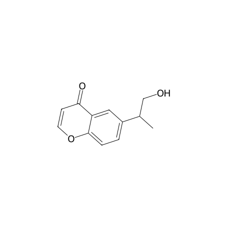 CC(CO)c1ccc2occc(=O)c2c1